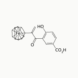 C=C(C(=O)c1cc(C(=O)O)ccc1O)[C]12[CH]3[CH]4[CH]5[CH]1[Fe]45321678[CH]2[CH]1[CH]6[CH]7[CH]28